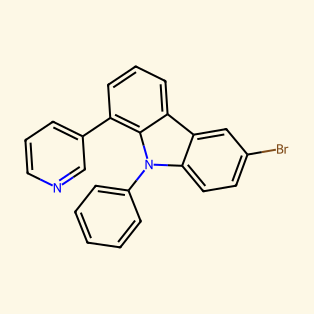 Brc1ccc2c(c1)c1cccc(-c3cccnc3)c1n2-c1ccccc1